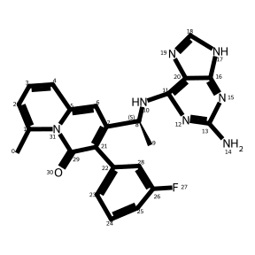 Cc1cccc2cc([C@H](C)Nc3nc(N)nc4[nH]cnc34)c(-c3cccc(F)c3)c(=O)n12